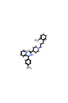 C=C(NC(c1ccc(C)cc1)c1ccccn1)C1CCN(CCCC2=CCCC=C2C)CC1